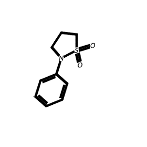 O=S1(=O)CCCN1c1c[c]ccc1